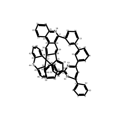 c1ccc(-c2cc(-c3cccc(-c4cccc(-c5nc6ccccc6c6cc7c(cc56)-c5ccccc5C75c6ccccc6Sc6ccccc65)c4)c3)nc(-c3ccccc3)n2)cc1